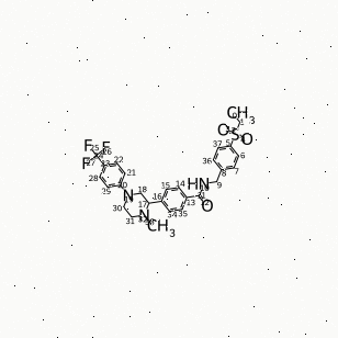 CCS(=O)(=O)c1ccc(CNC(=O)c2ccc(C3CN(c4ccc(C(F)(F)F)cc4)CCN3C)cc2)cc1